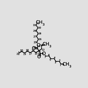 CCCCCCCCOC(=O)C(CCC)(CCCCCCI)C(=O)OCCCCCCCC